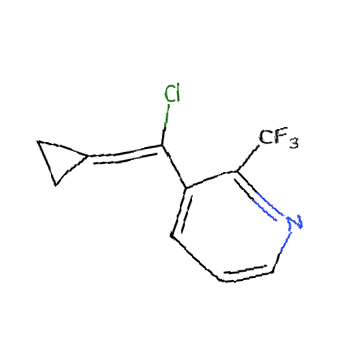 FC(F)(F)c1ncccc1C(Cl)=C1CC1